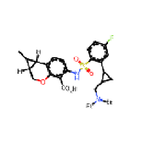 CCN(CC)CC1CC1c1cc(F)ccc1S(=O)(=O)Nc1ccc2c(c1C(=O)O)OC[C@@H]1C(C)[C@H]21